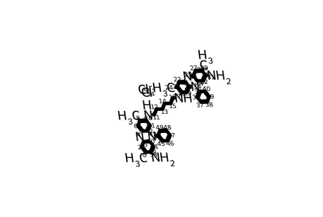 Cc1cc2nc3cc(C)c(NCCCCCCNc4cc5c(cc4C)nc4cc(C)c(N)cc4[n+]5-c4ccccc4)cc3[n+](-c3ccccc3)c2cc1N.[Cl-].[Cl-]